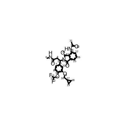 CNC(=O)CC(c1ccc(OC(F)F)c(OCC2CC2)c1)N1C(=O)c2cccc(NC(C)=O)c2C1=O